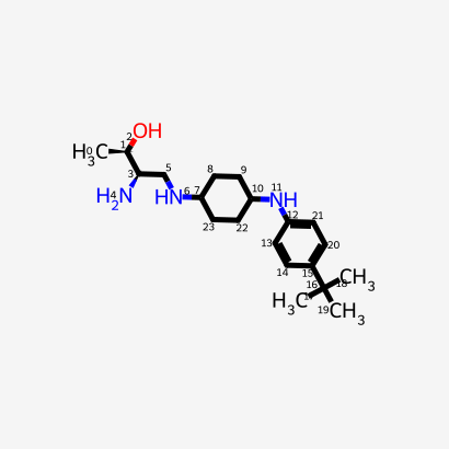 C[C@@H](O)[C@H](N)CNC1CCC(Nc2ccc(C(C)(C)C)cc2)CC1